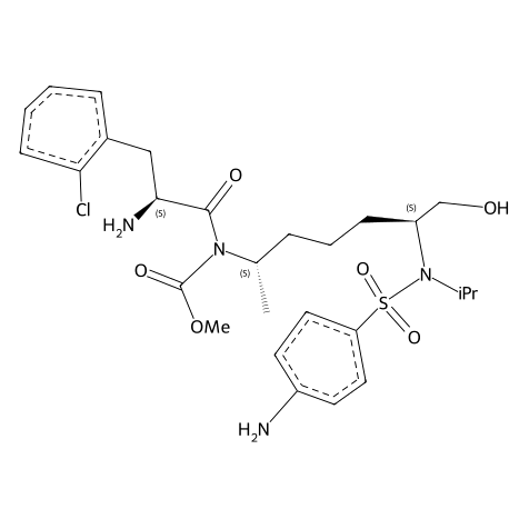 COC(=O)N(C(=O)[C@@H](N)Cc1ccccc1Cl)[C@@H](C)CCC[C@@H](CO)N(C(C)C)S(=O)(=O)c1ccc(N)cc1